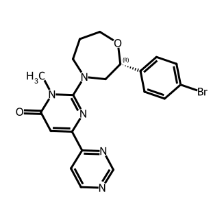 Cn1c(N2CCCO[C@H](c3ccc(Br)cc3)C2)nc(-c2ccncn2)cc1=O